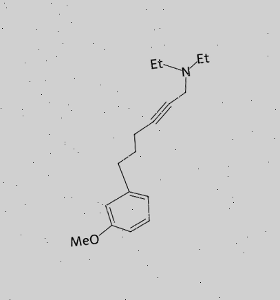 CCN(CC)CC#CCCCc1cccc(OC)c1